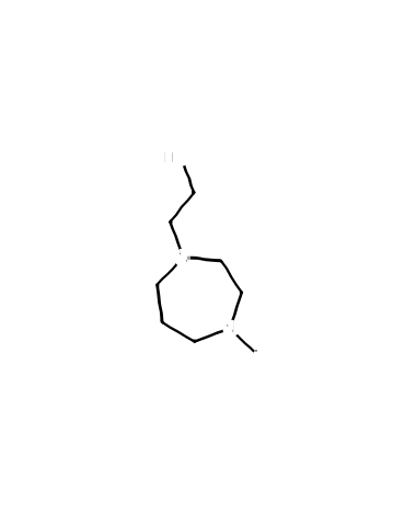 OCCN1CCCN(I)CC1